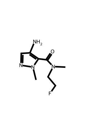 CN(CCF)C(=O)c1c(N)cnn1C